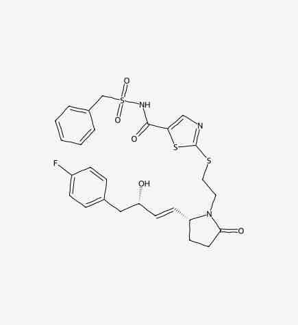 O=C(NS(=O)(=O)Cc1ccccc1)c1cnc(SCCN2C(=O)CC[C@@H]2/C=C/[C@@H](O)Cc2ccc(F)cc2)s1